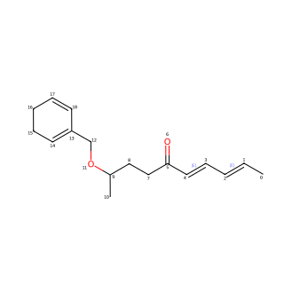 C/C=C/C=C/C(=O)CCC(C)OCC1=CCCC=C1